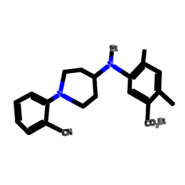 CCOC(=O)c1cc(N(CC)C2CCN(c3ccccc3C#N)CC2)c(C)cc1C